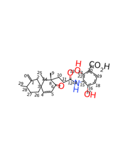 C=C1CC2(C=CC(=O)[C@@](C)(CCC(=O)Nc3c(O)ccc(C(=O)O)c3O)C2C)CCC1C